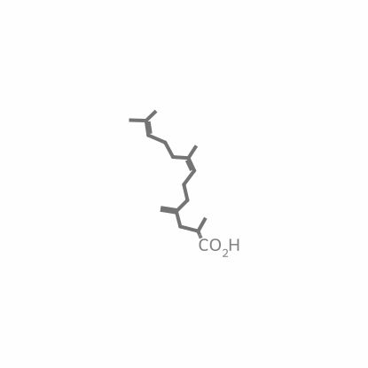 C=C(CCC=C(C)CCC=C(C)C)CC(C)C(=O)O